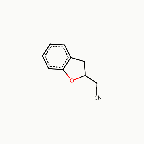 N#CCC1Cc2ccccc2O1